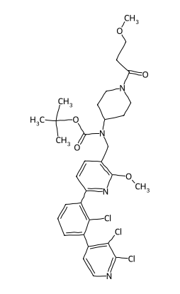 COCCC(=O)N1CCC(N(Cc2ccc(-c3cccc(-c4ccnc(Cl)c4Cl)c3Cl)nc2OC)C(=O)OC(C)(C)C)CC1